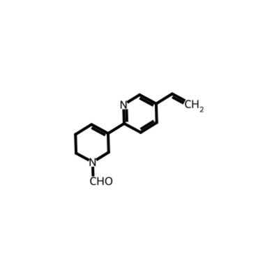 C=Cc1ccc(C2=CCCN(C=O)C2)nc1